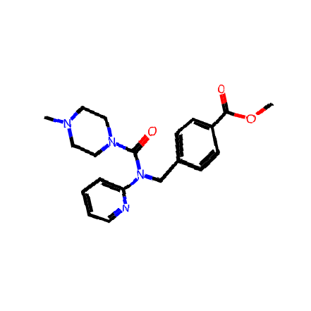 COC(=O)c1ccc(CN(C(=O)N2CCN(C)CC2)c2ccccn2)cc1